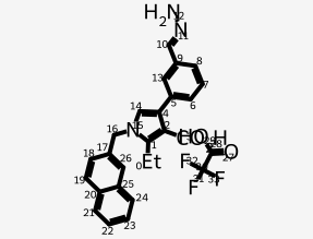 CCc1c(C(=O)O)c(-c2cccc(C=NN)c2)cn1Cc1ccc2ccccc2c1.O=C(O)C(F)(F)F